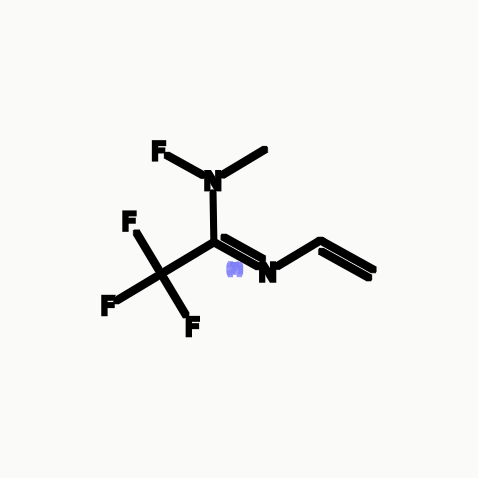 C=C/N=C(\N(C)F)C(F)(F)F